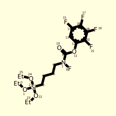 CCO[Si](CCCCN(F)C(=O)Oc1cc(F)c(F)c(F)c1F)(OCC)OCC